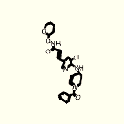 O=C(C=Cc1cnc(NC2CCN(C(=O)c3ccccc3)CC2)c(Cl)c1)NOC1CCCCO1